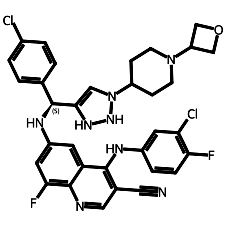 N#Cc1cnc2c(F)cc(N[C@H](C3=CN(C4CCN(C5COC5)CC4)NN3)c3ccc(Cl)cc3)cc2c1Nc1ccc(F)c(Cl)c1